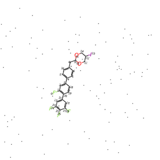 Fc1cc(-c2ccc(CC3OCC(I)CO3)cc2)ccc1-c1cc(F)c(F)c(F)c1